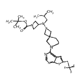 CC(C)C[C@H](C1CN(C(=O)OC(C)(C)C)C1)N1CC2(CCN(c3ncnc4sc(CC(F)(F)F)cc34)C2)C1